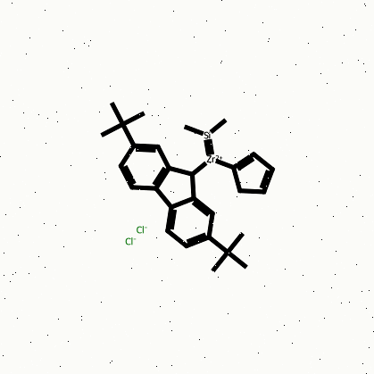 C[Si](C)=[Zr+2]([C]1=CC=CC1)[CH]1c2cc(C(C)(C)C)ccc2-c2ccc(C(C)(C)C)cc21.[Cl-].[Cl-]